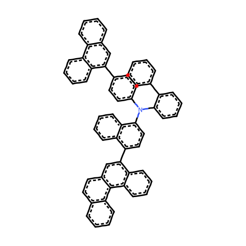 c1ccc(-c2ccccc2N(c2ccc(-c3cc4ccccc4c4ccccc34)cc2)c2ccc(-c3cc4ccc5ccccc5c4c4ccccc34)c3ccccc23)cc1